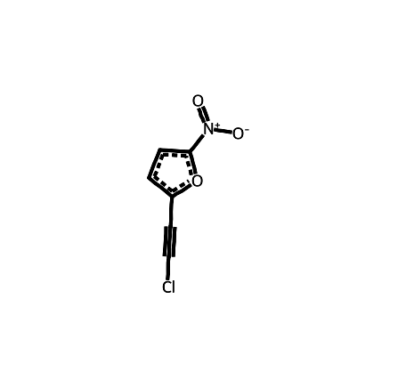 O=[N+]([O-])c1ccc(C#CCl)o1